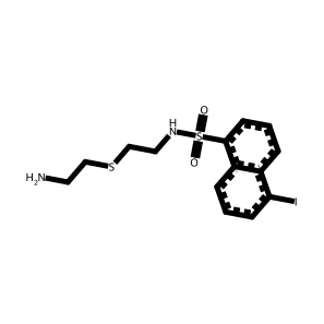 NCCSCCNS(=O)(=O)c1cccc2c(I)cccc12